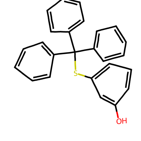 Oc1cccc(SC(c2ccccc2)(c2ccccc2)c2ccccc2)c1